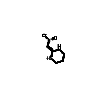 O=[N+]([O-])C=C1NCCC[SH]1